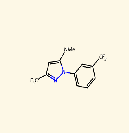 CNc1cc(C(F)(F)F)nn1-c1cccc(C(F)(F)F)c1